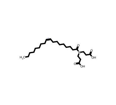 CCCCCCCC/C=C\CCCCCCCC(=O)N(CCC(=O)O)CCC(=O)O